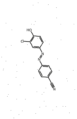 N#Cc1ccc(N=Nc2ccc(O)c(Cl)c2)cc1